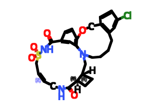 O=C1NS(=O)(=O)C/C=C\CNC(=O)[C@@H]2CC[C@H]2CN2CCCCc3cc(Cl)ccc3COc3ccc1cc32